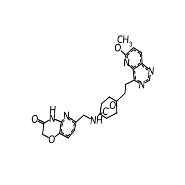 COc1ccc2ncnc(CCC34CCC(NCc5ccc6c(n5)NC(=O)CO6)(CC3)CO4)c2n1